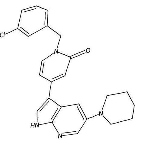 O=c1cc(-c2c[nH]c3ncc(N4CCCCC4)cc23)ccn1Cc1cccc(Cl)c1